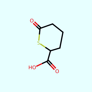 O=C1CCCC(C(=O)O)S1